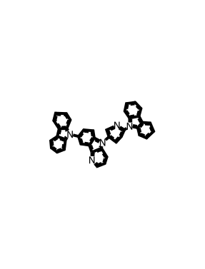 c1ccc2c(c1)c1ccccc1n2-c1ccc2c(c1)c1ncccc1n2-c1ccc(-n2c3ccccc3c3ccccc32)nc1